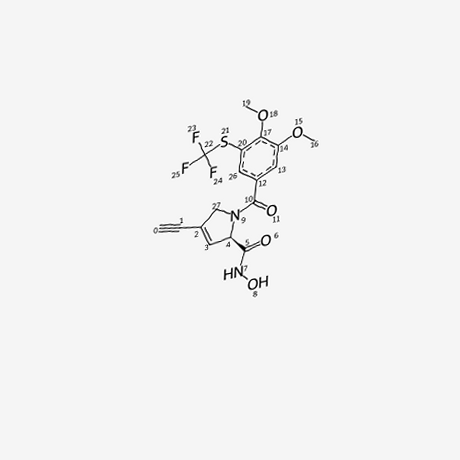 C#CC1=C[C@H](C(=O)NO)N(C(=O)c2cc(OC)c(OC)c(SC(F)(F)F)c2)C1